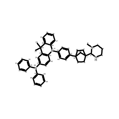 CN1CCCNC1C12CCC(c3ccc(N4c5ccccc5C(C)(C)c5cc(N(c6ccccc6)c6ccccc6)ccc54)cc3)(CC1)C2